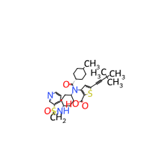 C=S(=O)(NC1CCC(N(c2cc(C#CC(C)(C)C)sc2C(=O)O)C(=O)[C@H]2CC[C@H](C)CC2)CC1)c1cccnc1